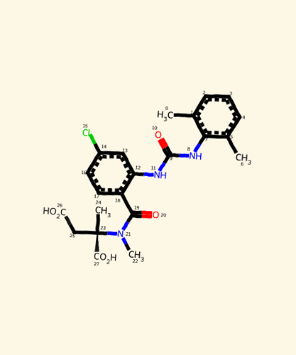 Cc1cccc(C)c1NC(=O)Nc1cc(Cl)ccc1C(=O)N(C)[C@@](C)(CC(=O)O)C(=O)O